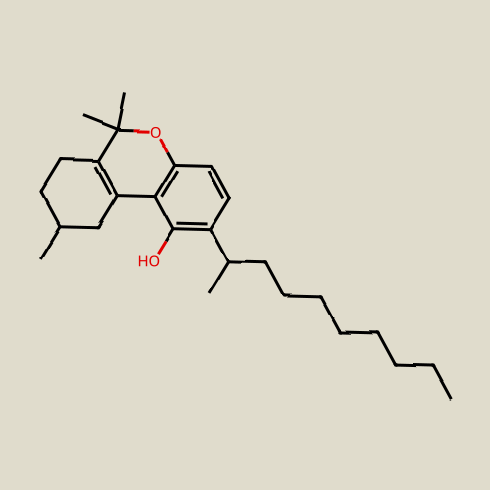 CCCCCCCCC(C)c1ccc2c(c1O)C1=C(CCC(C)C1)C(C)(C)O2